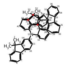 CC1(C)c2ccccc2-c2ccc(N(c3ccccc3-c3ccccc3-n3c4ccccc4c4ccccc43)c3cccc4c3-c3ccccc3C4(C)C)cc21